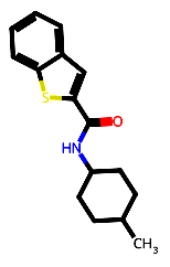 CC1CCC(NC(=O)c2cc3ccccc3s2)CC1